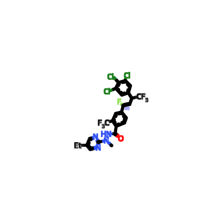 CCc1cnc(N(C)NC(=O)c2ccc(/C(F)=C/C(c3cc(Cl)c(Cl)c(Cl)c3)C(F)(F)F)cc2C(F)(F)F)nc1